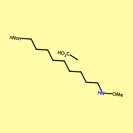 CC(=O)O.CCCCCCCCCCCCCCCCCCNOC